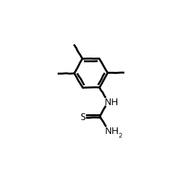 Cc1cc(C)c(NC(N)=S)cc1C